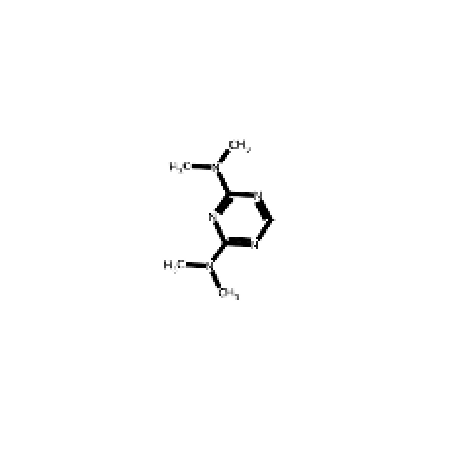 CN(C)c1n[c]nc(N(C)C)n1